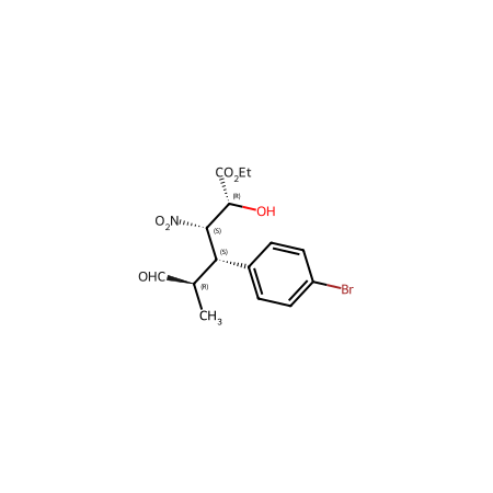 CCOC(=O)[C@H](O)[C@H]([C@H](c1ccc(Br)cc1)[C@@H](C)C=O)[N+](=O)[O-]